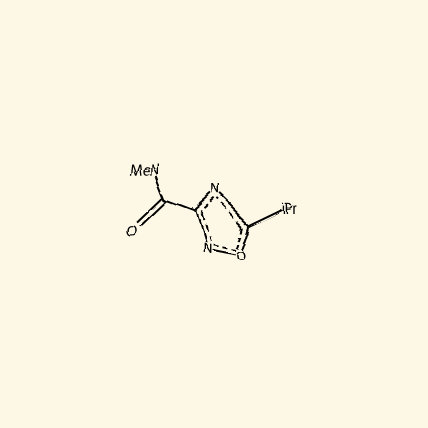 CNC(=O)c1noc(C(C)C)n1